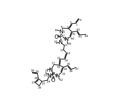 C=C/C=C1/CN(C)P(=O)(N(C)CC/C=C\C=C2\CN(C)P(=O)(N(C)CC3CC=C3C=C)N(C)C=C2/C=C/C)N(C)C=C1/C=C/C